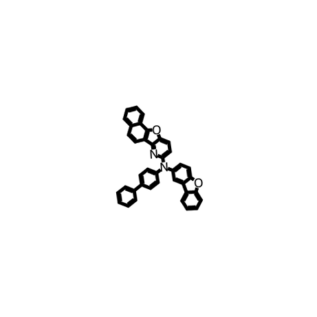 c1ccc(-c2ccc(N(c3ccc4oc5ccccc5c4c3)c3ccc4oc5c6ccccc6ccc5c4n3)cc2)cc1